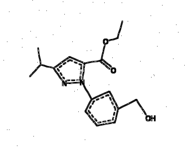 CCOC(=O)c1cc(C(C)C)nn1-c1cccc(CO)c1